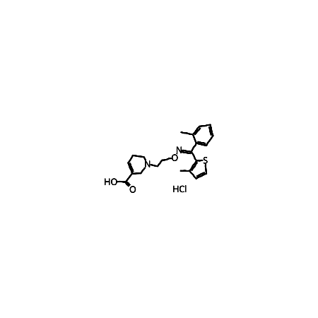 Cc1ccccc1C(=NOCCN1CCC=C(C(=O)O)C1)c1sccc1C.Cl